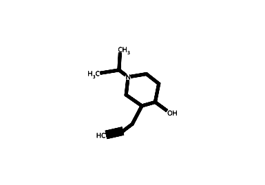 C#CCC1CN(C(C)C)CCC1O